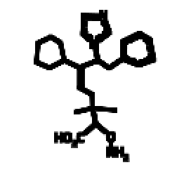 CC(C)(C/C=C(/C1CCCCC1)C(Cc1ccccc1)n1ccnc1)C(ON)C(=O)O